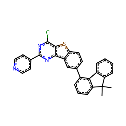 CC1(C)c2ccccc2-c2c(-c3ccc4sc5c(Cl)nc(-c6ccncc6)nc5c4c3)cccc21